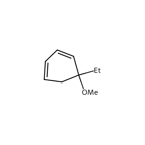 CCC1(OC)[CH]C=CC=C1